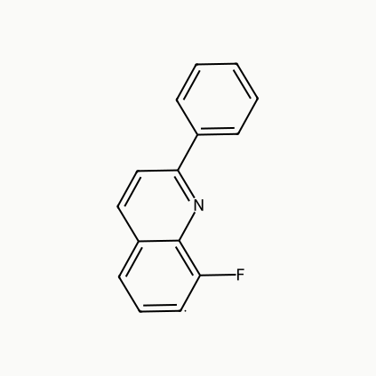 Fc1[c]ccc2ccc(-c3ccccc3)nc12